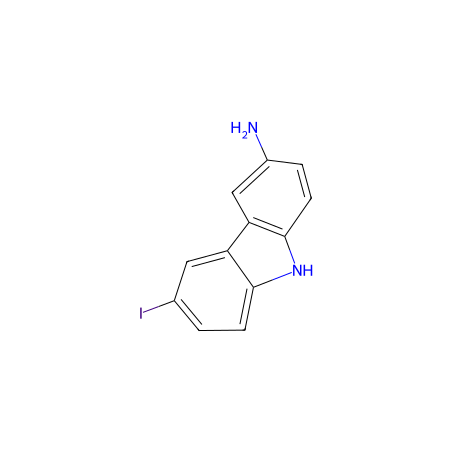 Nc1ccc2[nH]c3ccc(I)cc3c2c1